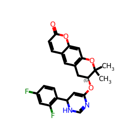 CC1(C)Oc2cc3oc(=O)ccc3cc2C[C@@H]1OC1=CC(c2ccc(F)cc2F)NC=N1